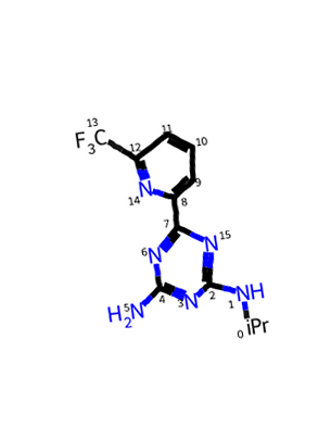 CC(C)Nc1nc(N)nc(-c2cccc(C(F)(F)F)n2)n1